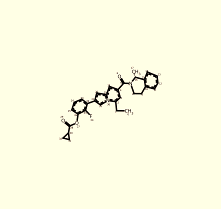 CCc1cc(C(=O)N2CCc3ccccc3[C@H]2C)cc2cc(-c3cccc(OC(=O)C4CC4)c3F)cn12